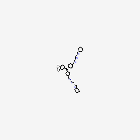 C(=C\C=C\c1ccc(N(c2ccc(/C=C/C=C/C=C/c3ccccc3)cc2)c2ccc3c(c2)OCO3)cc1)/C=C/c1ccccc1